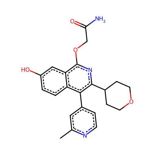 Cc1cc(-c2c(C3CCOCC3)nc(OCC(N)=O)c3cc(O)ccc23)ccn1